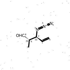 C=C[C@H](N=[N+]=[N-])[C@H](C)C=O